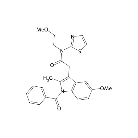 COCCN(C(=O)Cc1c(C)n(C(=O)c2ccccc2)c2ccc(OC)cc12)c1nccs1